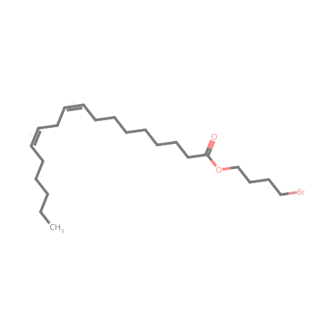 CCCCC/C=C\C/C=C\CCCCCCCC(=O)OCCCCBr